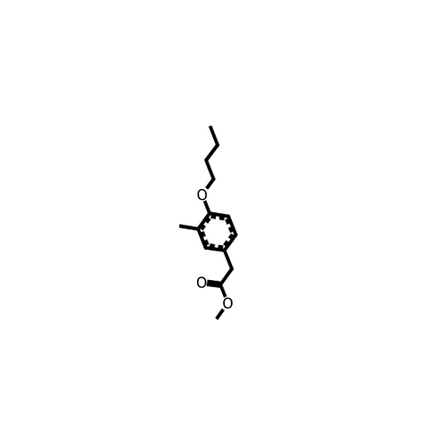 CCCCOc1ccc(CC(=O)OC)cc1C